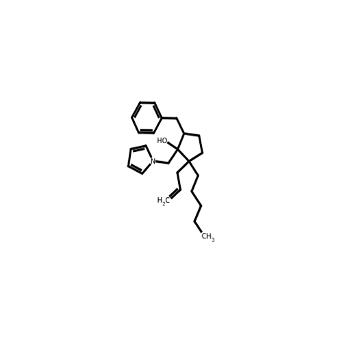 C=CCC1(CCCCC)CCC(Cc2ccccc2)C1(O)Cn1cccc1